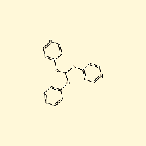 c1cc(OB(Oc2ccncc2)Oc2ccncc2)ccn1